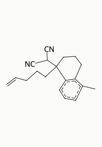 C=CCCCC1(C(C#N)C#N)CCCc2c(C)cccc21